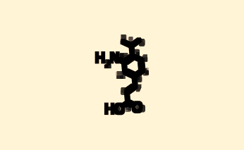 CC(C)c1ccc(C=CC(=O)O)cc1N